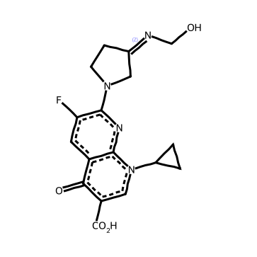 O=C(O)c1cn(C2CC2)c2nc(N3CC/C(=N/CO)C3)c(F)cc2c1=O